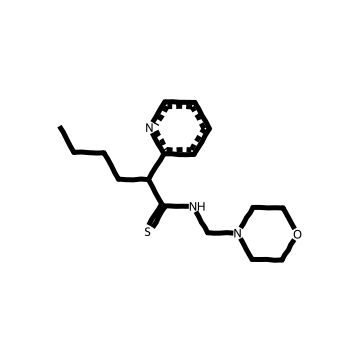 CCCCC(C(=S)NCN1CCOCC1)c1ccccn1